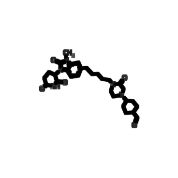 Cn1c(=O)n(C2CCC(=O)NC2=O)c2ccc(CCCCCN3CCN(C4CCC(C=O)CC4)CC3=O)cc21